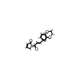 O=C1C=CCN1C(=O)C=Cc1ccc2c(c1)OCCO2